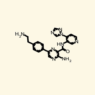 NCCc1ccc(-c2cnc(N)c(C(=O)Nc3cnccc3-n3cncn3)n2)cc1